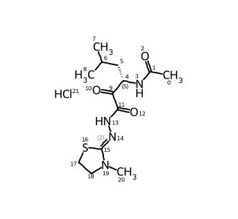 CC(=O)N[C@@H](CC(C)C)C(=O)C(=O)N/N=C1\SCCN1C.Cl